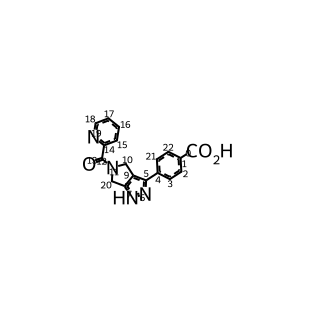 O=C(O)c1ccc(-c2n[nH]c3c2CN(C(=O)c2ccccn2)C3)cc1